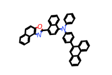 c1ccc(N(c2ccc(-c3cc4ccccc4c4ccccc34)cc2)c2ccc(-c3nc4c(ccc5ccccc54)o3)c3ccccc23)cc1